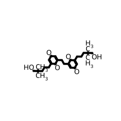 CC(C)(CO)CCCC1=CC(=O)C=C(CCC2=CC(=O)C=C(CCCC(C)(C)CO)C2=O)C1=O